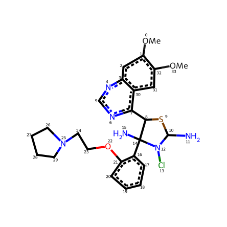 COc1cc2ncnc(C3SC(N)N(Cl)C3(N)c3ccccc3OCCN3CCCC3)c2cc1OC